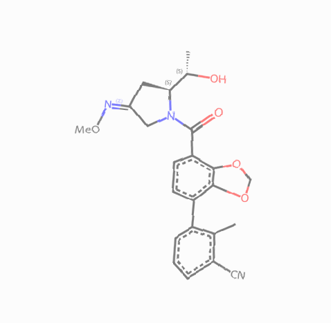 CO/N=C1/C[C@@H]([C@H](C)O)N(C(=O)c2ccc(-c3cccc(C#N)c3C)c3c2OCO3)C1